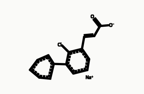 O=C([O-])C=Cc1cccc(-c2ccccc2)c1Cl.[Na+]